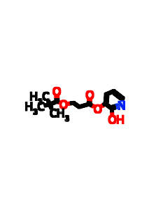 CC(C)(C)C(=O)OCCC(=O)Oc1cccnc1O